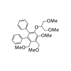 COCc1c(COC)c(-c2ccccc2)c(-c2ccccc2)c(OC(COC)COC)c1OC